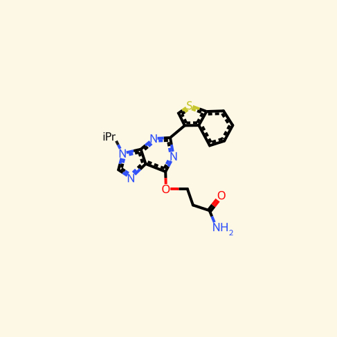 CC(C)n1cnc2c(OCCC(N)=O)nc(-c3csc4ccccc34)nc21